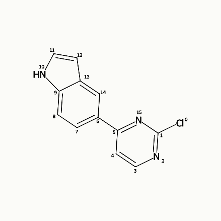 Clc1nccc(-c2ccc3[nH]ccc3c2)n1